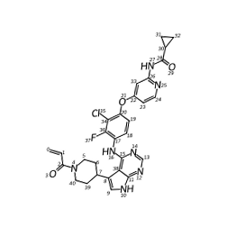 C=CC(=O)N1CCC(c2c[nH]c3ncnc(Nc4ccc(Oc5ccnc(NC(=O)C6CC6)c5)c(Cl)c4F)c23)CC1